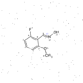 COc1cccc(F)c1/[C]=N/O